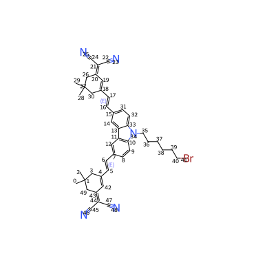 CC1(C)CC(/C=C/c2ccc3c(c2)c2cc(/C=C/C4=CC(=C(C#N)C#N)CC(C)(C)C4)ccc2n3CCCCCCBr)=CC(=C(C#N)C#N)C1